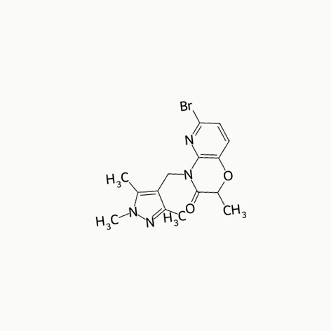 Cc1nn(C)c(C)c1CN1C(=O)C(C)Oc2ccc(Br)nc21